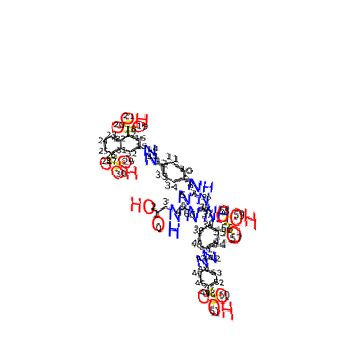 O=C(O)CNc1nc(Nc2ccc(N=Nc3cc(S(=O)(=O)O)c4cccc(S(=O)(=O)O)c4c3)cc2)nc(Nc2ccc(N=Nc3ccc(S(=O)(=O)O)cc3)cc2S(=O)(=O)O)n1